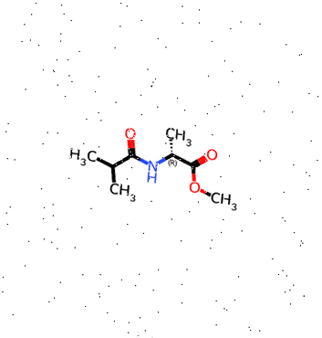 COC(=O)[C@@H](C)NC(=O)C(C)C